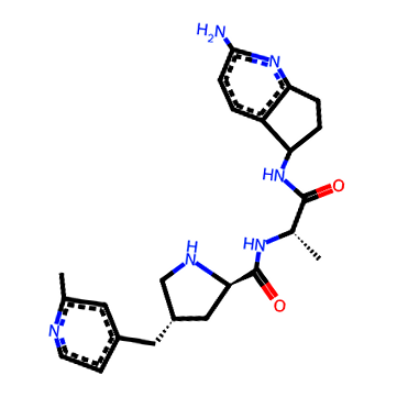 Cc1cc(C[C@@H]2CN[C@@H](C(=O)N[C@@H](C)C(=O)NC3CCc4nc(N)ccc43)C2)ccn1